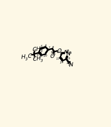 CC(C)(C)c1ccc(CC(=O)Oc2ccc(C#N)nn2)cc1